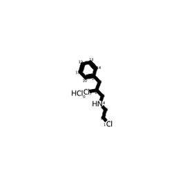 Cl.ClCCNCC(Cl)Cc1ccccc1